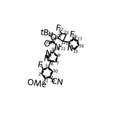 COc1cc(F)c(-c2ccc(N(C[C@]3(c4ncccc4F)C[C@@H](F)C3)C(=O)OC(C)(C)C)nn2)cc1C#N